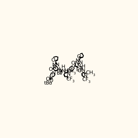 CCc1c(N2CCN(C(=O)OC(C)(C)C)CC2)c(=O)n2nc(C3=CCCCO3)nc2n1CC(=O)Nc1ccc(C(F)(F)F)nc1C.CCc1c(N2CCNCC2)c(=O)n2nc(C3=CCCCO3)nc2n1CC(=O)Nc1ccc(C(F)(F)F)nc1C